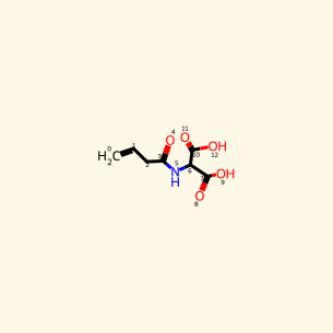 C=CCC(=O)NC(C(=O)O)C(=O)O